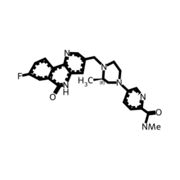 CNC(=O)c1ccc(N2CCN(Cc3cnc4c(c3)[nH]c(=O)c3cc(F)ccc34)[C@H](C)C2)cn1